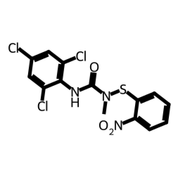 CN(Sc1ccccc1[N+](=O)[O-])C(=O)Nc1c(Cl)cc(Cl)cc1Cl